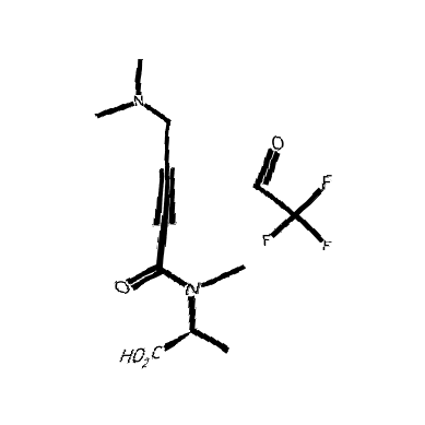 C[C@@H](C(=O)O)N(C)C(=O)C#CCN(C)C.O=CC(F)(F)F